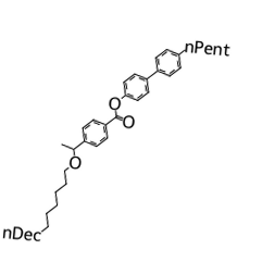 CCCCCCCCCCCCCCCCOC(C)c1ccc(C(=O)Oc2ccc(-c3ccc(CCCCC)cc3)cc2)cc1